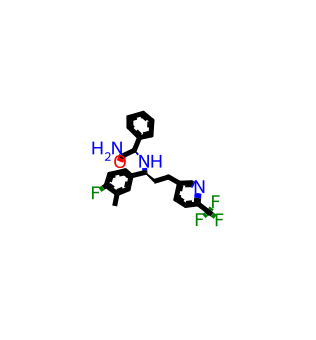 Cc1cc([C@H](CCc2ccc(C(F)(F)F)nc2)N[C@H](C(N)=O)c2ccccc2)ccc1F